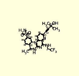 C[C@@H](Nc1nc(NCC(F)(F)F)c2nc(C#CC(C)(C)O)ccc2n1)c1ccc(S(N)(=O)=O)cc1